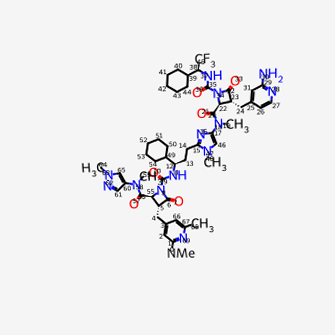 CNc1cc(C[C@H]2C(=O)N(C(=O)N[C@H](CCc3nc(N(C)C(=O)[C@@H]4[C@@H](Cc5ccnc(N)c5)C(=O)N4C(=O)N[C@@H](C4CCCCC4)C(F)(F)F)cn3C)C3CCCCC3)[C@@H]2C(=O)N(C)c2cnn(C)c2)cc(C)n1